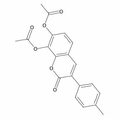 CC(=O)Oc1ccc2cc(-c3ccc(C)cc3)c(=O)oc2c1OC(C)=O